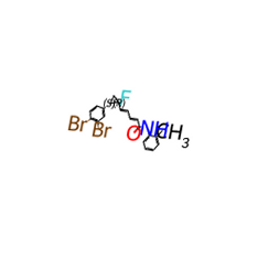 Cc1ccccc1NC(=O)C=CC=C[C@]1(F)C[C@H]1c1ccc(Br)c(Br)c1